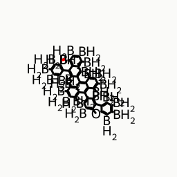 Bc1c(B)c(B)c(-c2c(B)c(-c3c4c(B)c(B)c(B)c(B)c4c(-c4c(B)c(B)c5oc6c(B)c(B)c(B)c(B)c6c5c4B)c4c(B)c(B)c(B)c(B)c34)c(B)c3c(B)c(B)c(B)c(B)c23)c(B)c1B